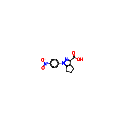 O=C(O)c1nn(-c2ccc([N+](=O)[O-])cc2)c2c1CCC2